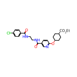 CCOC(=O)[C@H]1CC[C@@H](Oc2ccc(C(=O)NCCNC(=O)c3ccc(Cl)cc3)cn2)CC1